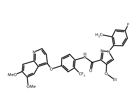 CCOc1cn(-c2ccc(F)cc2C)nc1C(=O)Nc1ccc(Oc2ccnc3cc(OC)c(OC)cc23)cc1C(F)(F)F